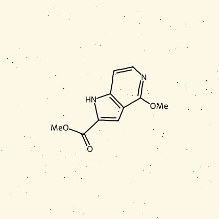 COC(=O)c1cc2c(OC)nccc2[nH]1